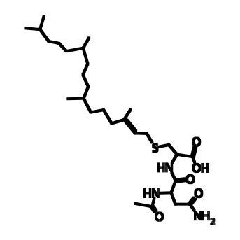 CC(=O)NC(CC(N)=O)C(=O)NC(CSC/C=C(\C)CCCC(C)CCCC(C)CCCC(C)C)C(=O)O